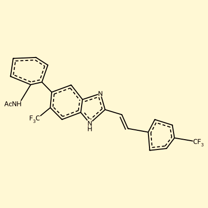 CC(=O)Nc1ccccc1-c1cc2nc(C=Cc3ccc(C(F)(F)F)cc3)[nH]c2cc1C(F)(F)F